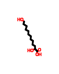 O=C(O)C(O)CCCCCCCCCCCO